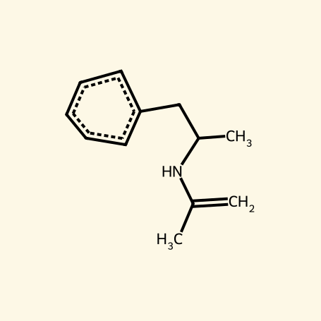 C=C(C)NC(C)Cc1ccccc1